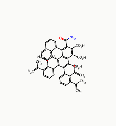 C=C(C)c1cccc(-c2c(C(=O)O)c3c(C(=O)O)c(C(=O)O)c(C(N)=O)c4c5cccc6cccc(c(c2-c2cccc(C(=C)C)c2C(=C)C)c34)c65)c1C(=C)C